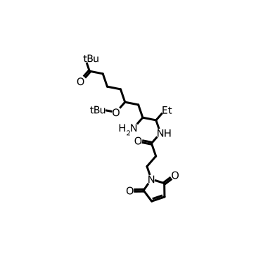 CCC(NC(=O)CCN1C(=O)C=CC1=O)C(N)CC(CCCC(=O)C(C)(C)C)OC(C)(C)C